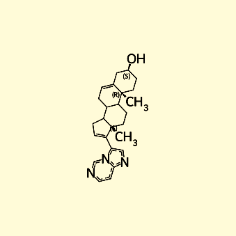 C[C@]12CC[C@H](O)CC1=CCC1C2CC[C@]2(C)C(c3cnc4ccncn34)=CCC12